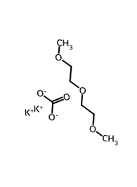 COCCOCCOC.O=C([O-])[O-].[K+].[K+]